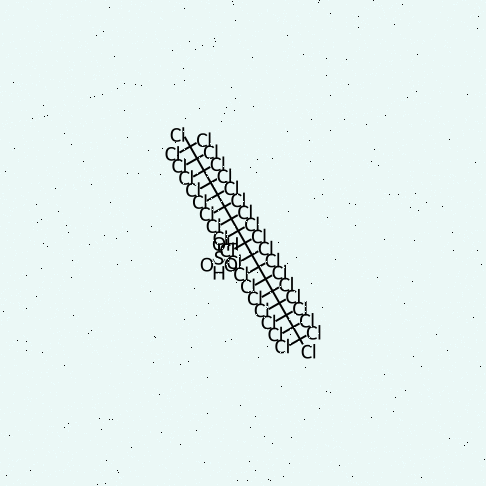 ClC(Cl)(Cl)C(Cl)(Cl)C(Cl)(Cl)C(Cl)(Cl)C(Cl)(Cl)C(Cl)(Cl)C(Cl)(Cl)C(Cl)(Cl)C(Cl)(Cl)C(Cl)(Cl)C(Cl)(Cl)C(Cl)(Cl)C(Cl)(Cl)C(Cl)(Cl)C(Cl)(Cl)C(Cl)(Cl)C(Cl)(Cl)Cl.O=[SH](=O)O